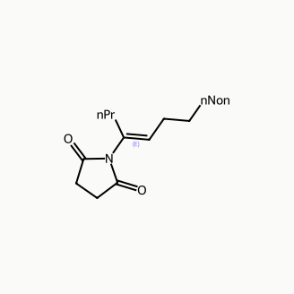 CCCCCCCCCCC/C=C(\CCC)N1C(=O)CCC1=O